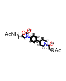 CC(=O)NC[C@H]1CN(c2ccc(C3=CCN(C(=O)COC(C)=O)CC3)cc2)C(=O)O1